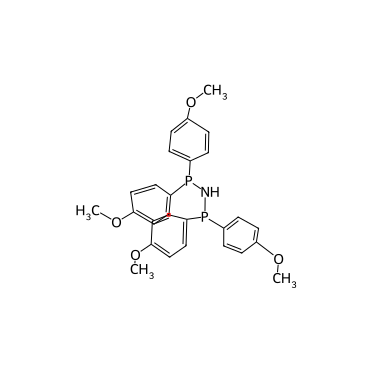 COc1ccc(P(NP(c2ccc(OC)cc2)c2ccc(OC)cc2)c2ccc(OC)cc2)cc1